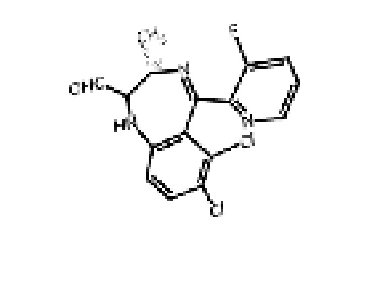 C[C@@H]1N=C(c2ncccc2F)c2c(ccc(Cl)c2Cl)NC1C=O